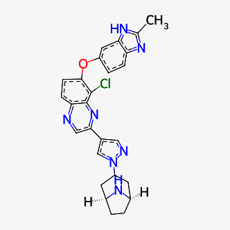 Cc1nc2ccc(Oc3ccc4ncc(-c5cnn(C6C[C@H]7CC[C@@H](C6)N7)c5)nc4c3Cl)cc2[nH]1